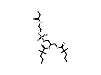 CCCC(C)(C)C(=O)OCC(COP(=O)(O)OCCNC(=O)CC)OC(=O)C(C)(C)CCC